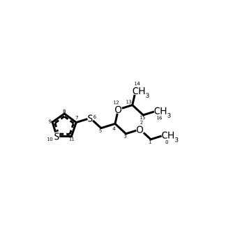 CCOCC(CSc1ccsc1)OC(C)CC